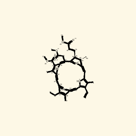 C=Cc1c(C)c2cc3nc(c(CC(=O)OC)c4[nH]c(cc5nc(cc1[nH]2)C(C)=C5CC)c(C)c4C(=O)OC)[C@@H](CCC(=O)OC)[C@@H]3C